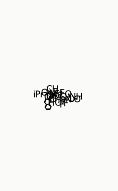 CC(C)OC(=O)[C@H](C)NP(=O)(OC[C@@]1(C(F)F)O[C@@H](n2ccc(=O)[nH]c2=O)C(F)(F)[C@@H]1O)Oc1ccc2ccccc2c1